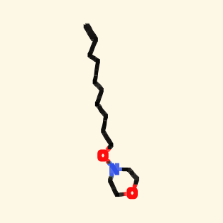 C=CCCCCCCCCON1CCOCC1